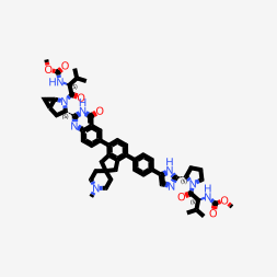 COC(=O)N[C@H](C(=O)N1CCC[C@H]1c1ncc(-c2ccc(-c3ccc(-c4ccc5nc([C@@H]6CC7CC7N6C(=O)[C@@H](NC(=O)OC)C(C)C)[nH]c(=O)c5c4)c4c3CC3(CCN(C)CC3)C4)cc2)[nH]1)C(C)C